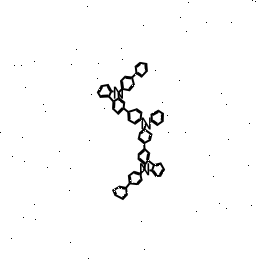 c1ccc(-c2ccc(-n3c4ccccc4c4cc(-c5ccc(N(c6ccccc6)c6ccc(-c7ccc8c9ccccc9n(-c9ccc(-c%10ccccc%10)cc9)c8c7)cc6)cc5)ccc43)cc2)cc1